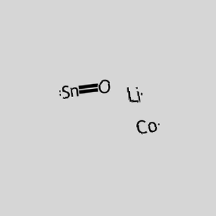 [Co].[Li].[O]=[Sn]